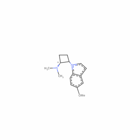 COc1ccc2c(ccn2C2CC[C@@H]2N(C)C)c1